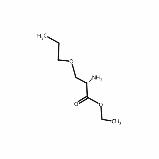 CCCOC[C@H](N)C(=O)OCC